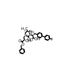 CC(C)CN(C[C@H](O)C(=O)OCc1ccccc1)C(=O)N[C@@H](Cc1ccc(-c2ccc(F)cc2)cc1)C(=O)O